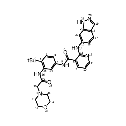 CC(C)(C)c1ccc(NC(=O)c2cccnc2Nc2ccc3cn[nH]c3c2)cc1NC(=O)CN1CCOCC1